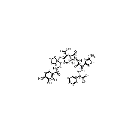 Nc1nc(/C(=N/O[C@H](C(=O)O)c2ccccc2)C(=O)N[C@@H]2C(=O)N3C(C(=O)O)=C(C[N+]4(CCNC(=O)c5ccc(O)c(O)c5Cl)CCCC4)CS[C@H]23)ns1